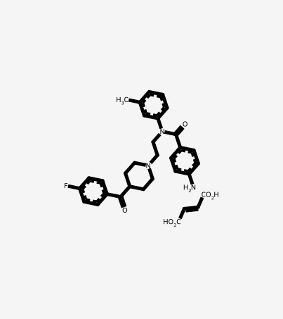 Cc1cccc(N(CCN2CCC(C(=O)c3ccc(F)cc3)CC2)C(=O)c2ccc(N)cc2)c1.O=C(O)C=CC(=O)O